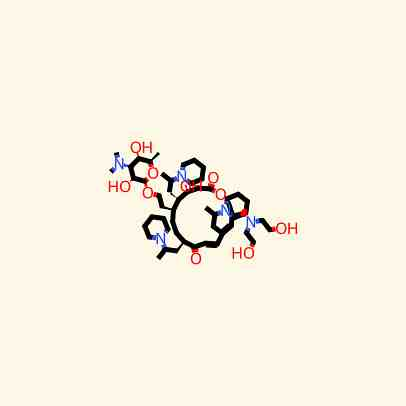 CC(CC1=C\[C@H](CN(CCO)CCO)COC(=O)C[C@@H](O)[C@@H](CC(C)N2CCCCC2)[C@H](CCO[C@@H]2O[C@H](C)[C@@H](O)[C@H](N(C)C)[C@H]2O)CC[C@H](CC(C)N2CCCCC2)C(=O)\C=C\1)N1CCCCC1